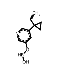 C=CC1(c2cncc(OBO)c2)CC1